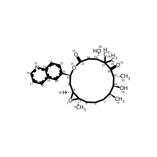 C[C@H]1CCC[C@@]2(C)O[C@H]2C[C@@H](c2ccc3ncccc3c2)OC(=O)C[C@H](O)C(C)(C)C(=O)[C@H](C)[C@H]1O